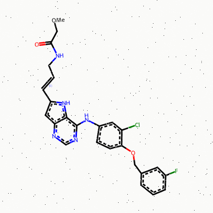 COCC(=O)NC/C=C/c1cc2ncnc(Nc3ccc(OCc4cccc(F)c4)c(Cl)c3)c2[nH]1